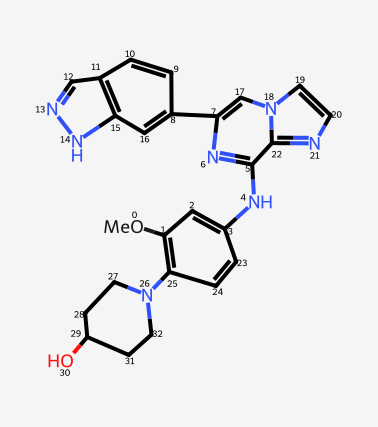 COc1cc(Nc2nc(-c3ccc4cn[nH]c4c3)cn3ccnc23)ccc1N1CCC(O)CC1